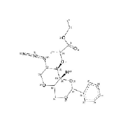 CCOC(=O)[C@@H](C)O[C@@H]1C(N=[N+]=[N-])COC2COC(c3ccccc3)O[C@H]21